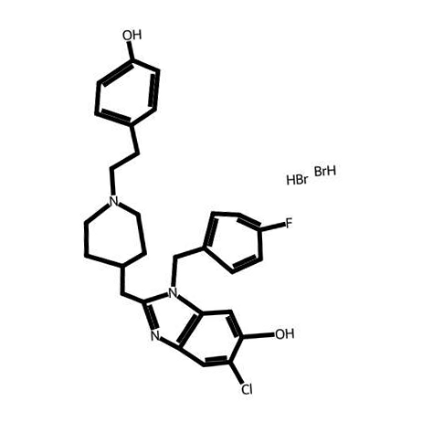 Br.Br.Oc1ccc(CCN2CCC(Cc3nc4cc(Cl)c(O)cc4n3Cc3ccc(F)cc3)CC2)cc1